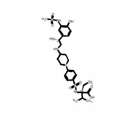 CC[C@@](NS(=O)(=O)c1ccc(N2CCC(NC[C@H](O)c3ccc(O)c(NS(C)(=O)=O)c3)CC2)cc1)(C(=O)O)C(C)C